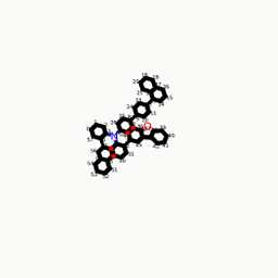 c1ccc(N(c2ccc(-c3ccc(-c4cccc5ccccc45)cc3)cc2)c2ccccc2-c2ccc3oc4ccccc4c3c2)c(-c2ccc3ccccc3c2)c1